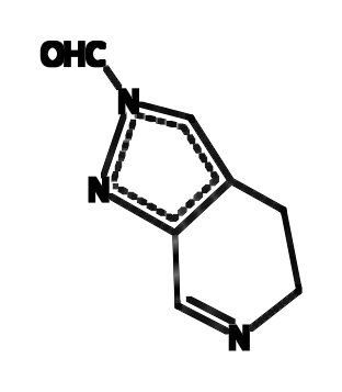 O=Cn1cc2c(n1)C=NCC2